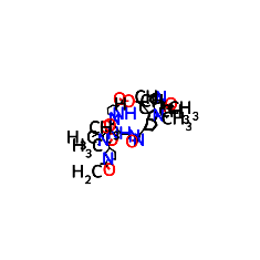 C=CC(=O)N1CC[C@H](C(=O)N(C)[C@H](C(=O)N[C@H]2Cc3nc(no3)-c3ccc4c(c3)c(c(-c3cccnc3[C@H](C)OC)n4CC)CC(C)(C)COC(=O)[C@@H]3CCCN(N3)C2=O)C(C)C)C1